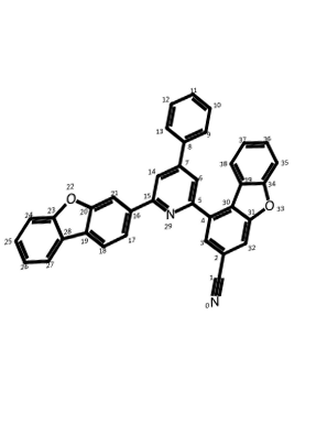 N#Cc1cc(-c2cc(-c3ccccc3)cc(-c3ccc4c(c3)oc3ccccc34)n2)c2c(c1)oc1ccccc12